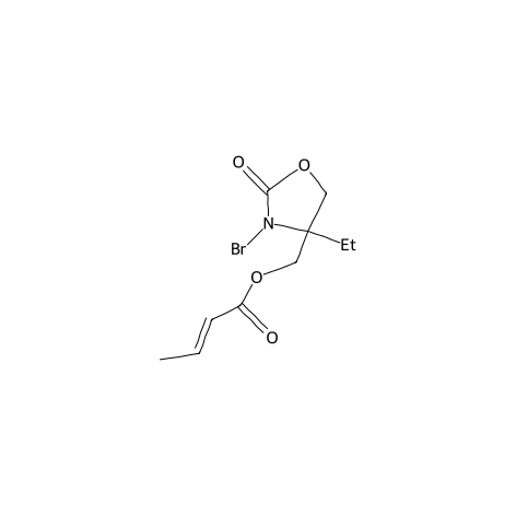 CC=CC(=O)OCC1(CC)COC(=O)N1Br